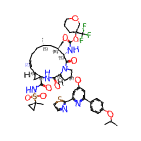 CC(C)Oc1ccc(-c2cc(O[C@@H]3C[C@H]4C(=O)N[C@]5(C(=O)NS(=O)(=O)C6(C)CC6)C[C@H]5/C=C\CC[C@H](C)C[C@@H](C)[C@H](NC(=O)OC5(C(F)(F)F)CCCOC5)C(=O)N4C3)cc(-c3nccs3)n2)cc1